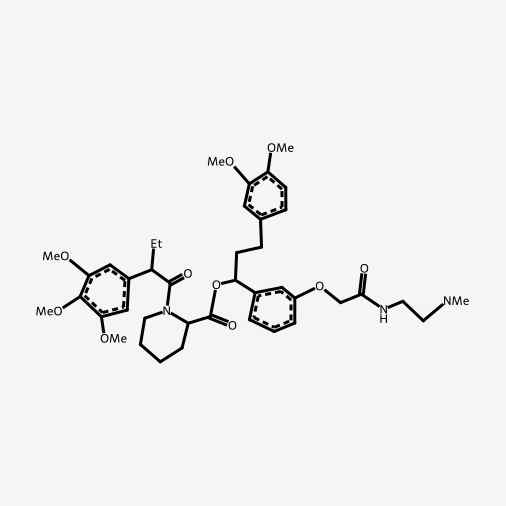 CCC(C(=O)N1CCCCC1C(=O)OC(CCc1ccc(OC)c(OC)c1)c1cccc(OCC(=O)NCCNC)c1)c1cc(OC)c(OC)c(OC)c1